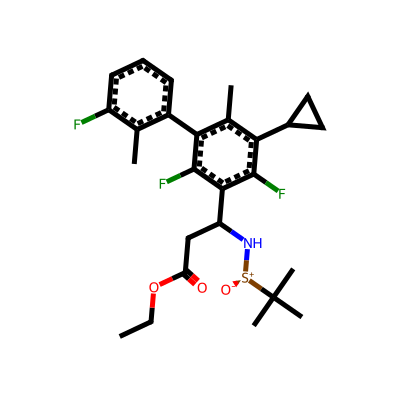 CCOC(=O)CC(N[S@+]([O-])C(C)(C)C)c1c(F)c(-c2cccc(F)c2C)c(C)c(C2CC2)c1F